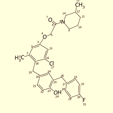 Cc1cc(OCC(=O)N2CCCC(C)C2)cc(Cl)c1Cc1ccc(O)c(Cc2ccc(F)cc2)c1